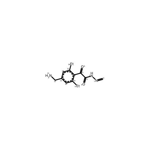 C=NNC(=O)C(=O)c1c(CC)cc(CN)cc1CC